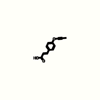 CC#COc1ccc(/C=C/C(=O)O)cc1